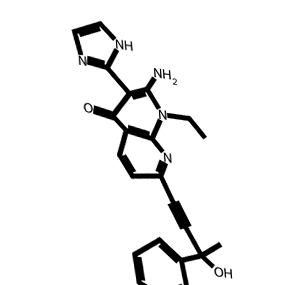 CCn1c(N)c(-c2ncc[nH]2)c(=O)c2ccc(C#CC(C)(O)c3ccccc3)nc21